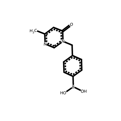 Cc1cc(=O)n(Cc2ccc(B(O)O)cc2)cn1